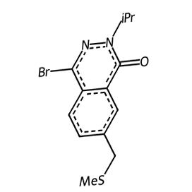 CSCc1ccc2c(Br)nn(C(C)C)c(=O)c2c1